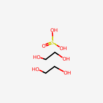 O=S(O)O.OCCO.OCCO